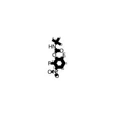 CC(C)(C)NC(=O)Oc1c(F)ccc([N+](=O)[O-])c1F